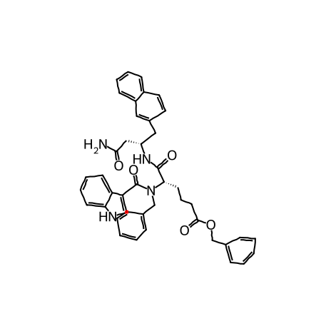 NC(=O)C[C@H](Cc1ccc2ccccc2c1)NC(=O)[C@H](CCCC(=O)OCc1ccccc1)N(Cc1ccccc1)C(=O)c1c[nH]c2ccccc12